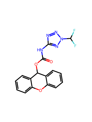 O=C(Nc1nnn(C(F)F)n1)OC1c2ccccc2Oc2ccccc21